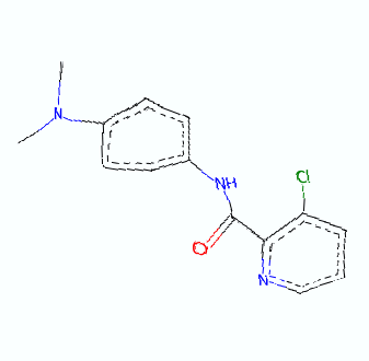 CN(C)c1ccc(NC(=O)c2ncccc2Cl)cc1